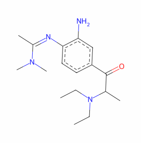 CCN(CC)C(C)C(=O)c1ccc(N=C(C)N(C)C)c(N)c1